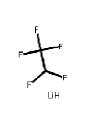 F[C](F)C(F)(F)F.[LiH]